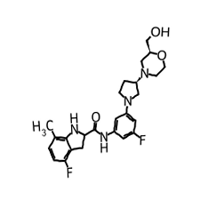 Cc1ccc(F)c2c1NC(C(=O)Nc1cc(F)cc(N3CC[C@@H](N4CCO[C@H](CO)C4)C3)c1)C2